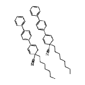 CCCCCCCC1(C#N)C=CC(c2ccc(-c3ccccc3)cc2)=CC1.CCCCCCCCC1(C#N)C=CC(c2ccc(-c3ccccc3)cc2)=CC1